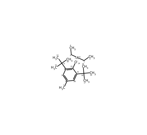 C[CH2][Al+][CH2]C.Cc1cc(C(C)(C)C)c([O-])c(C(C)(C)C)c1